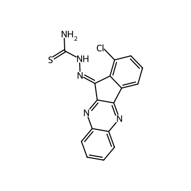 NC(=S)NN=C1c2nc3ccccc3nc2-c2cccc(Cl)c21